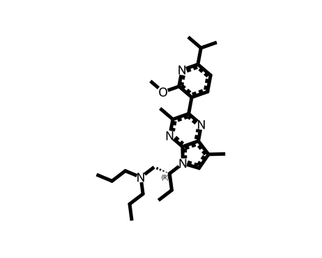 CCCN(CCC)C[C@@H](CC)n1cc(C)c2nc(-c3ccc(C(C)C)nc3OC)c(C)nc21